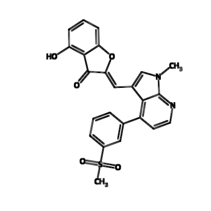 Cn1cc(C=C2Oc3cccc(O)c3C2=O)c2c(-c3cccc(S(C)(=O)=O)c3)ccnc21